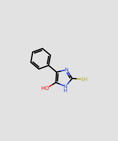 Oc1[nH]c(S)nc1-c1ccccc1